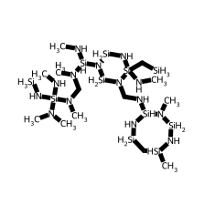 CN[SiH](N(C)CN(C)[Si](NC)(N[SiH3])N(C)C)N1[SiH2]N[Si](C[SiH3])(NC)N(CN[SiH]2N[SiH2]C[SiH](C)N[SiH2]N2C)[SiH2]1